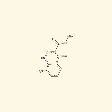 CCCCCCCCCNC(=O)c1c[nH]c2c([N+](=O)[O-])cccc2c1=O